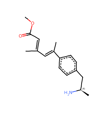 COC(=O)C=C(C)C=C(C)c1ccc(C[C@@H](C)N)cc1